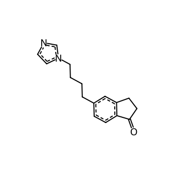 O=C1CCc2cc(CCCCn3ccnc3)ccc21